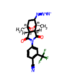 C[C@]12CC(N=[N+]=[N-])[C@](C)(O1)[C@@H]1C(=O)N(c3ccc(C#N)c(C(F)(F)F)c3)C(=O)[C@@H]12